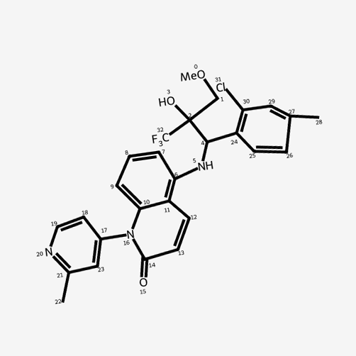 COCC(O)(C(Nc1cccc2c1ccc(=O)n2-c1ccnc(C)c1)c1ccc(C)cc1Cl)C(F)(F)F